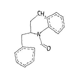 CCC(Cc1ccccc1)N([C]=O)c1ccccc1